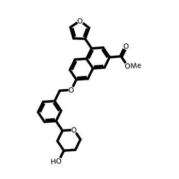 COC(=O)c1cc(-c2ccoc2)c2ccc(OCc3cccc(C4CC(O)CCO4)c3)cc2c1